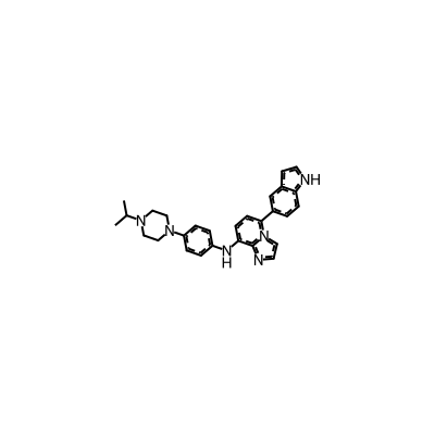 CC(C)N1CCN(c2ccc(Nc3ccc(-c4ccc5[nH]ccc5c4)n4ccnc34)cc2)CC1